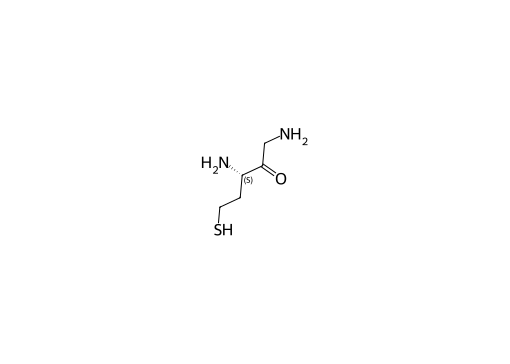 NCC(=O)[C@@H](N)CCS